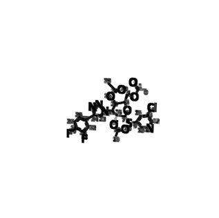 CC(=O)OC[C@H]1O[C@H](Sc2cncc(Cl)c2)[C@H](OC(C)=O)[C@@H](n2cc(-c3ccc(F)c(F)c3)nn2)[C@H]1OC(C)=O